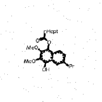 CCCCCCCC(=O)Oc1c(OC)c(OC)c(O)c2cc(C(C)C)ccc12